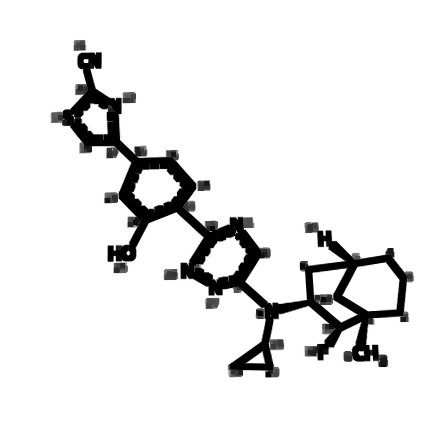 C[C@@]12CCC[C@@H](C[C@H](N(c3cnc(-c4ccc(-c5csc(C#N)n5)cc4O)nn3)C3CC3)[C@@H]1F)C2